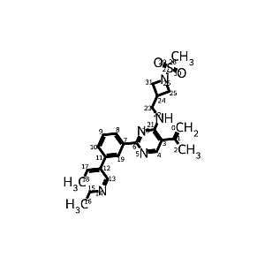 C=C(C)c1cnc(-c2cccc(C(/C=N\CC)=C/C)c2)nc1NCC1CN(S(C)(=O)=O)C1